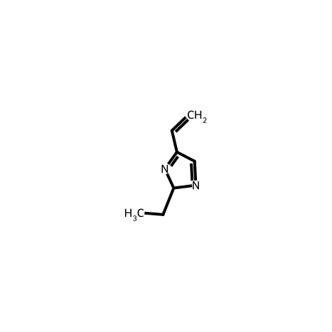 C=CC1=NC(CC)N=C1